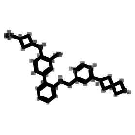 CC(C)c1cc(-c2ccccc2OCc2cc(N3CC4(COC4)C3)ncn2)ccc1OC1CC(N)C1